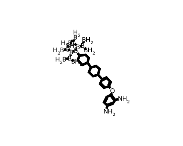 BB(B)B(B(B)B)B(B(B(B)B)B(B)B)C1CCC(C2CCC(c3ccc(Oc4ccc(N)cc4N)cc3)CC2)CC1